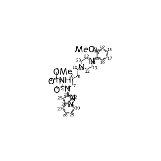 COC(=O)NC(=O)N(CCCCN1CCN(c2ccccc2OC)CC1)c1cc2ccccn2n1